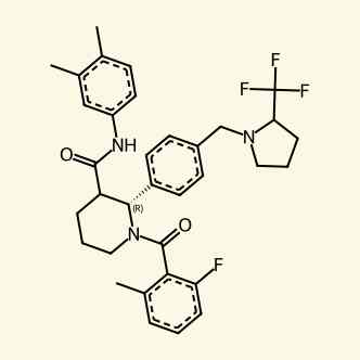 Cc1ccc(NC(=O)C2CCCN(C(=O)c3c(C)cccc3F)[C@H]2c2ccc(CN3CCCC3C(F)(F)F)cc2)cc1C